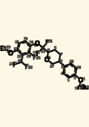 CCCCOc1ccc(C2CCC(C(F)(F)Oc3ccc(OCC)c(C(F)F)c3F)OC2)cc1